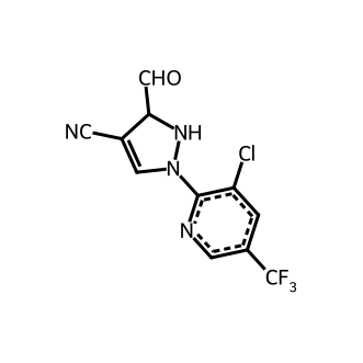 N#CC1=CN(c2ncc(C(F)(F)F)cc2Cl)NC1C=O